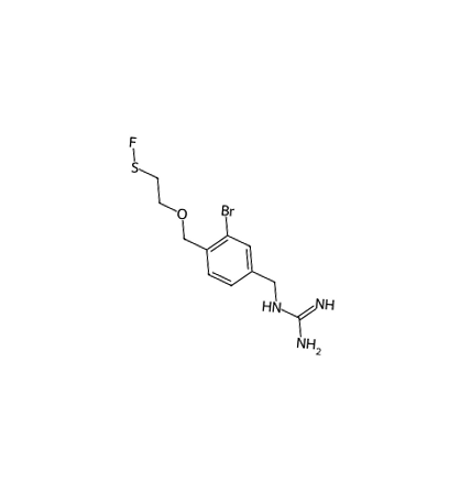 N=C(N)NCc1ccc(COCCSF)c(Br)c1